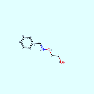 OCCON=Cc1ccccc1